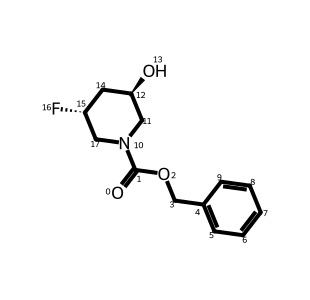 O=C(OCc1ccccc1)N1C[C@H](O)C[C@@H](F)C1